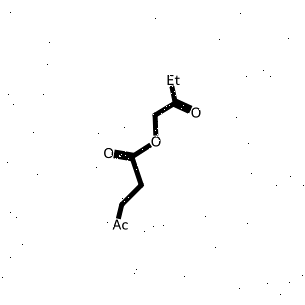 CCC(=O)COC(=O)CCC(C)=O